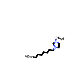 CCCCCCCCCCCCCCCCCN1C=CN(CCCCCCC)C1